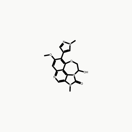 COc1cc2ncc3c4c2c(c1-c1cnn(C)c1)OCC(O)n4c(=O)n3C